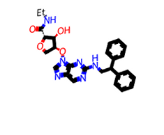 CCNC(=O)[C@H]1OC[C@H](On2cnc3cnc(NCC(c4ccccc4)c4ccccc4)nc32)[C@@H]1O